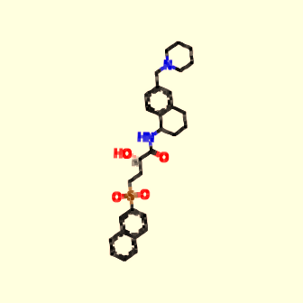 O=C(NC1CCCc2cc(CN3CCCCC3)ccc21)[C@@H](O)CCS(=O)(=O)c1ccc2ccccc2c1